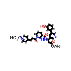 COC(=O)CC(NC(=O)[C@@H]1CCCN(C(=O)CCC2CCN(C(=O)O)CC2)C1)c1cncc(-c2cccc(O)c2)c1